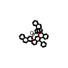 O=P(c1ccc2ccc3ccccc3c2c1)(c1ccc2ccc3ccccc3c2c1)c1c2ccccc2c(-c2ccccc2)c2c3ccccc3c3ccccc3c12